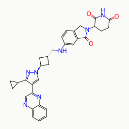 O=C1CCC(N2Cc3ccc(NC[C@H]4C[C@H](n5cc(-c6cnc7ccccc7n6)c(C6CC6)n5)C4)cc3C2=O)C(=O)N1